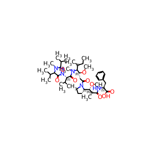 CC[C@H](C)C([C@@H](CC(=O)N1CCC[C@H]1[C@H](OC)[C@@H](C)C(=O)N[C@@H](Cc1ccccc1)C(=O)O)OC)N(C)C(=O)[C@@H](NC(=O)C(C(C)C)N(C)C(=O)C(C)C)C(C)C